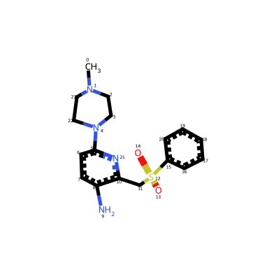 CN1CCN(c2ccc(N)c(CS(=O)(=O)c3ccccc3)n2)CC1